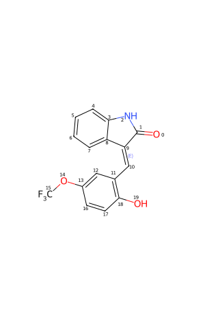 O=C1Nc2ccccc2/C1=C\c1cc(OC(F)(F)F)ccc1O